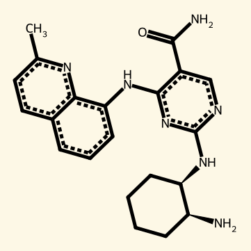 Cc1ccc2cccc(Nc3nc(N[C@@H]4CCCC[C@@H]4N)ncc3C(N)=O)c2n1